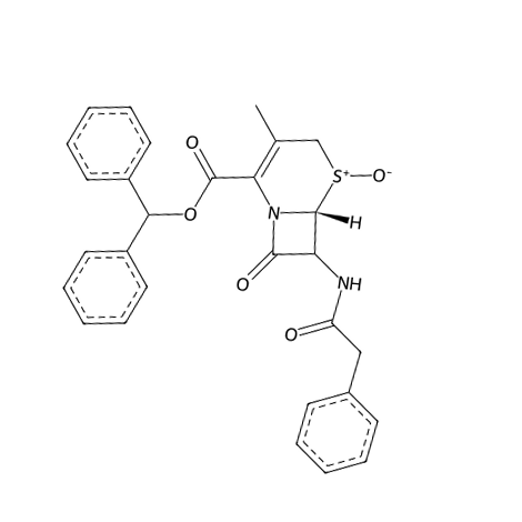 CC1=C(C(=O)OC(c2ccccc2)c2ccccc2)N2C(=O)C(NC(=O)Cc3ccccc3)[C@H]2[S+]([O-])C1